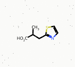 CC(Cc1nccs1)C(=O)O